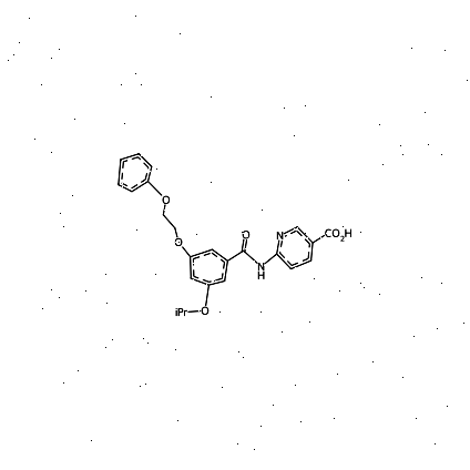 CC(C)Oc1cc(OCCOc2ccccc2)cc(C(=O)Nc2ccc(C(=O)O)cn2)c1